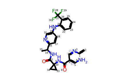 C=C/N=C\C(=C/N)C(=O)NC1(C(=O)NC(C)c2ccc(Nc3ccccc3C(F)(F)F)cn2)CC1